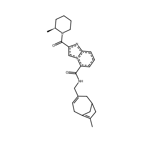 CC1=C2CC=C(CNC(=O)c3cccc4nc(C(=O)N5CCCC[C@@H]5C)cn34)CC(C1)C2